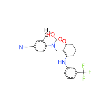 Cc1cc(C#N)ccc1N(CC1=C(Nc2cccc(C(F)(F)F)c2)CCCC1=O)C(=O)O